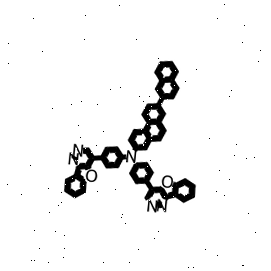 c1ccc2cc(-c3ccc4c(ccc5cc(N(c6ccc(-c7cnnc8c7oc7ccccc78)cc6)c6ccc(-c7cnnc8c7oc7ccccc78)cc6)ccc54)c3)ccc2c1